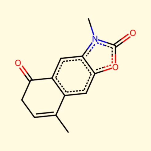 CC1=CCC(=O)c2cc3c(cc21)oc(=O)n3C